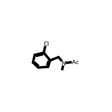 CC(=O)N(C)Cc1ccccc1Cl